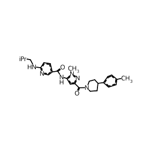 Cc1ccc(C2CCN(C(=O)c3cc(NC(=O)c4ccc(NCC(C)C)nc4)n(C)n3)CC2)cc1